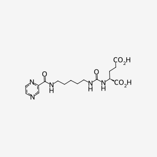 O=C(O)CC[C@H](NC(=O)NCCCCCNC(=O)c1cnccn1)C(=O)O